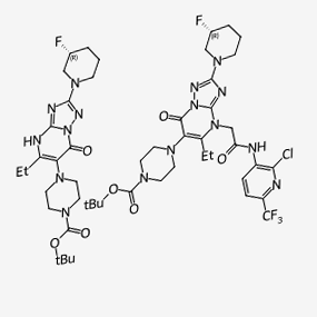 CCc1[nH]c2nc(N3CCC[C@@H](F)C3)nn2c(=O)c1N1CCN(C(=O)OC(C)(C)C)CC1.CCc1c(N2CCN(C(=O)OC(C)(C)C)CC2)c(=O)n2nc(N3CCC[C@@H](F)C3)nc2n1CC(=O)Nc1ccc(C(F)(F)F)nc1Cl